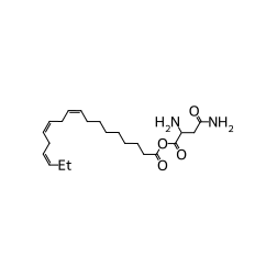 CC/C=C\C/C=C\C/C=C\CCCCCCCC(=O)OC(=O)C(N)CC(N)=O